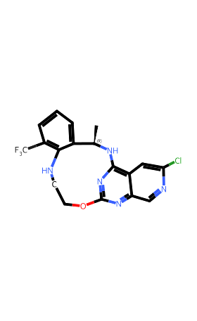 C[C@H]1Nc2nc(nc3cnc(Cl)cc23)OCCNc2c1cccc2C(F)(F)F